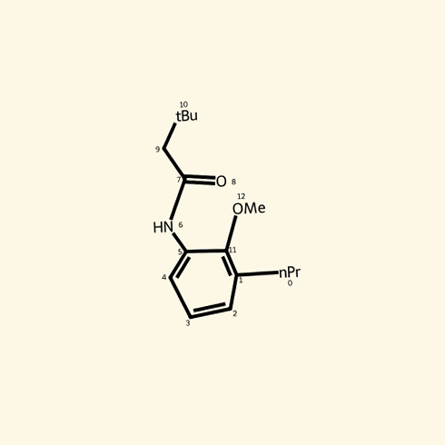 CCCc1cccc(NC(=O)CC(C)(C)C)c1OC